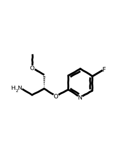 COC[C@@H](CN)Oc1ccc(F)cn1